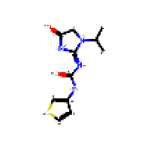 CC(C)N1CC(=O)NC1=NC(=O)Nc1ccsc1